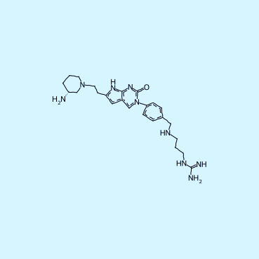 N=C(N)NCCCNCc1ccc(-n2cc3cc(CCN4CCC[C@@H](N)C4)[nH]c3nc2=O)cc1